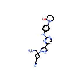 N#CC1CC(CN)(n2cc(-c3ccnc(Nc4ccc(N5CCCCC5=O)cc4)n3)cn2)C1